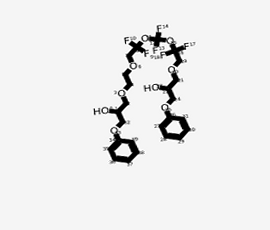 OC(COCCOCC(F)(F)OC(F)(F)OC(F)(F)COCC(O)COc1ccccc1)COc1ccccc1